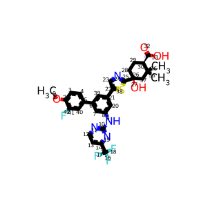 COc1ccc(-c2cc(Nc3nccc(C(F)(F)F)n3)cc(-c3cnc([C@]4(O)CC[C@@H](C(=O)O)C(C)(C)C4)s3)c2)cc1F